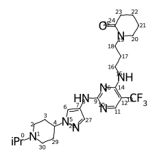 CC(C)N1CCC(n2cc(Nc3ncc(C(F)(F)F)c(NCCCN4CCCCC4=O)n3)cn2)CC1